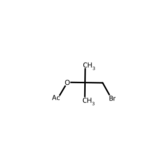 CC(=O)OC(C)(C)CBr